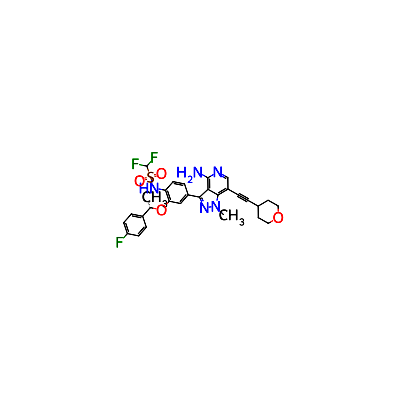 C[C@H](Oc1cc(-c2nn(C)c3c(C#CC4CCOCC4)cnc(N)c23)ccc1NS(=O)(=O)C(F)F)c1ccc(F)cc1